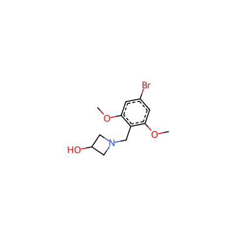 COc1cc(Br)cc(OC)c1CN1CC(O)C1